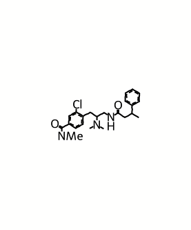 CNC(=O)c1ccc(CC(CNC(=O)CC(C)c2ccccc2)N(C)C)c(Cl)c1